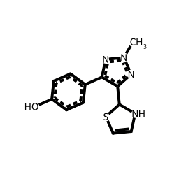 Cn1nc(-c2ccc(O)cc2)c(C2NC=CS2)n1